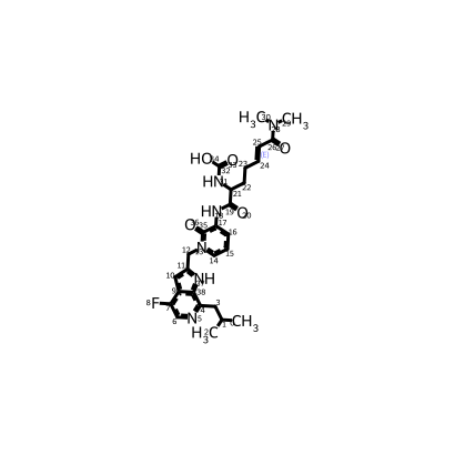 CC(C)Cc1ncc(F)c2cc(Cn3cccc(NC(=O)C(CC/C=C/C(=O)N(C)C)NC(=O)O)c3=O)[nH]c12